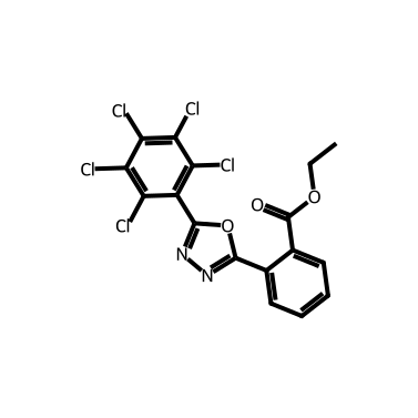 CCOC(=O)c1ccccc1-c1nnc(-c2c(Cl)c(Cl)c(Cl)c(Cl)c2Cl)o1